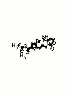 BC[C@H]1CCOC(=O)N1CCCc1sc(C(=O)OC(C)C)cc1Br